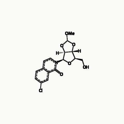 COC1O[C@H]2[C@H](O1)[C@@H](CO)O[C@H]2n1ccc2ccc(Cl)cc2c1=O